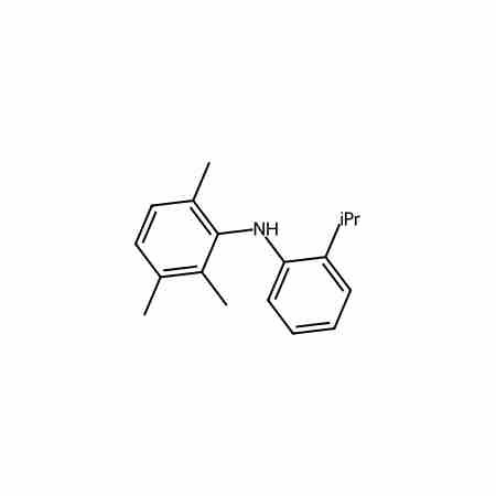 Cc1ccc(C)c(Nc2ccccc2C(C)C)c1C